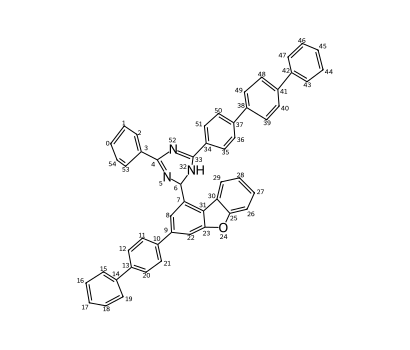 c1ccc(C2=NC(c3cc(-c4ccc(-c5ccccc5)cc4)cc4oc5ccccc5c34)NC(c3ccc(-c4ccc(-c5ccccc5)cc4)cc3)=N2)cc1